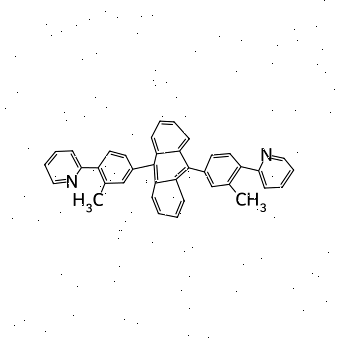 Cc1cc(-c2c3ccccc3c(-c3ccc(-c4ccccn4)c(C)c3)c3ccccc23)ccc1-c1ccccn1